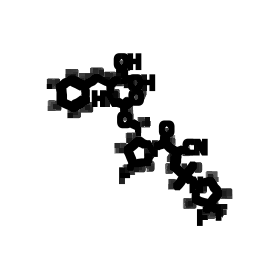 CC(C)(C=C(C#N)C(=O)N1C[C@@H](F)C[C@@H]1COC(=O)N[C@@H](Cc1ccccc1)B(O)O)N1CCC(F)(F)C1